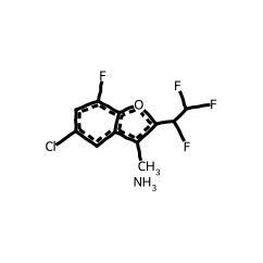 Cc1c(C(F)C(F)F)oc2c(F)cc(Cl)cc12.N